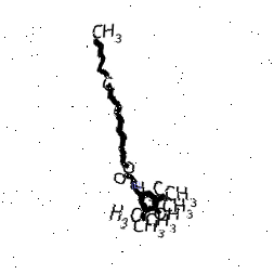 CCCCCCCCCCCCCCCCCCOC(=O)/C=C/c1cc(C(C)(C)C)c(O)c(C(C)(C)C)c1